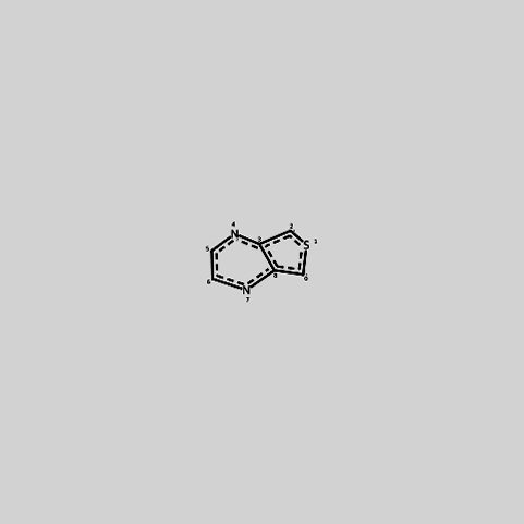 [c]1s[c]c2nccnc12